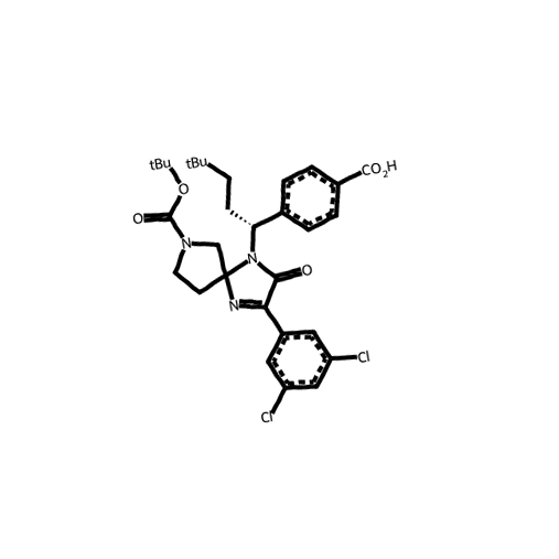 CC(C)(C)CC[C@H](c1ccc(C(=O)O)cc1)N1C(=O)C(c2cc(Cl)cc(Cl)c2)=NC12CCN(C(=O)OC(C)(C)C)C2